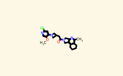 COc1cnc(Cl)cc1N1CC(CC(=O)N2Cc3nc(C)c4c(c3C2)CCCC4)C1